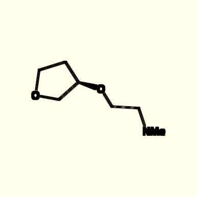 CNCCO[C@@H]1CCOC1